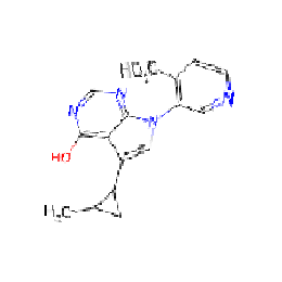 CC1CC1c1cn(-c2cnccc2C(=O)O)c2ncnc(O)c12